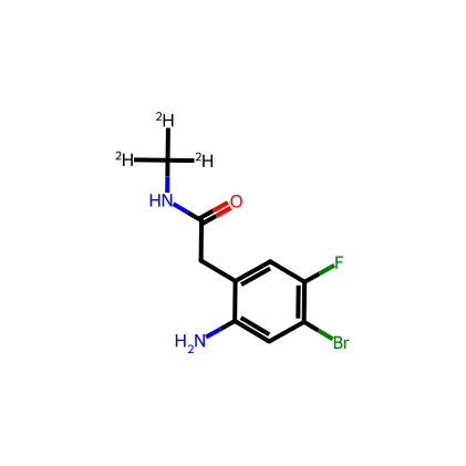 [2H]C([2H])([2H])NC(=O)Cc1cc(F)c(Br)cc1N